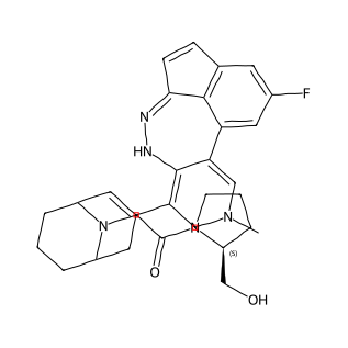 CN1C=C2C(=C(C3=CC4CCCC(C3)N4CC(=O)N3CCC[C@H]3CO)C1)NN=C1C=Cc3cc(F)cc2c31